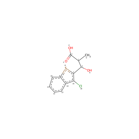 CC(C(=O)O)C(O)c1sc2ccccc2c1Cl